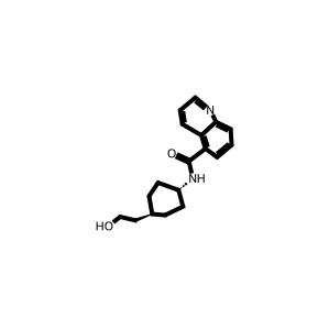 O=C(N[C@H]1CC[C@H](CCO)CC1)c1cccc2ncccc12